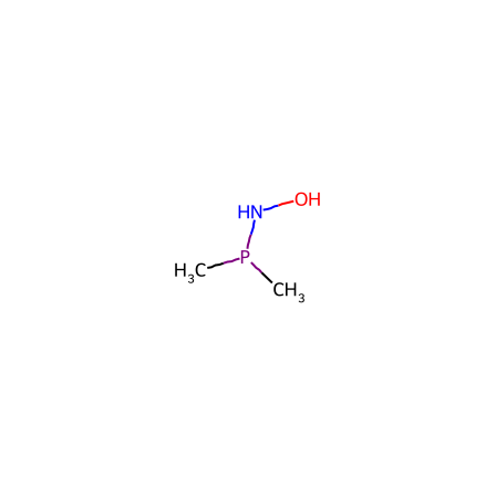 CP(C)NO